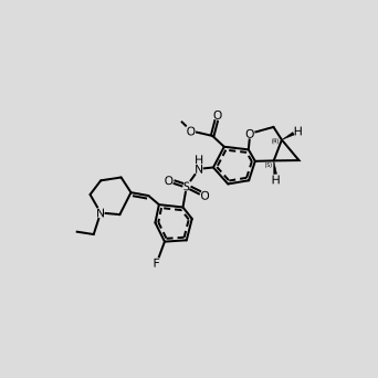 CCN1CCCC(=Cc2cc(F)ccc2S(=O)(=O)Nc2ccc3c(c2C(=O)OC)OC[C@@H]2C[C@H]32)C1